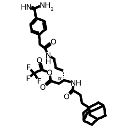 N=C(N)c1ccc(CC(=O)NCCC[C@@H](CC(=O)OC(=O)C(F)(F)F)NC(=O)CCC23CC4CC(CC(C4)C2)C3)cc1